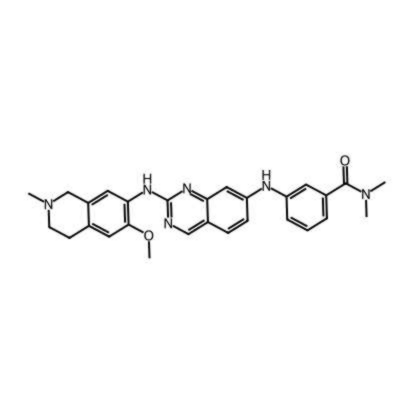 COc1cc2c(cc1Nc1ncc3ccc(Nc4cccc(C(=O)N(C)C)c4)cc3n1)CN(C)CC2